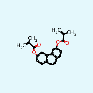 C=C(C)C(=O)Oc1ccc2ccc3ccc(OC(=O)C(=C)C)cc3c2c1